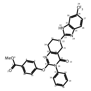 COC(=O)c1ccc(Oc2nc3c(c(=O)n2-c2ccccc2)CN(c2nc4ccc(C(F)(F)F)cc4[nH]2)CC3)cc1